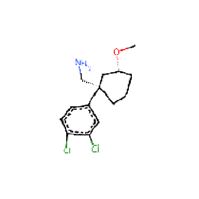 CO[C@@H]1CCC[C@@](CN)(c2ccc(Cl)c(Cl)c2)C1